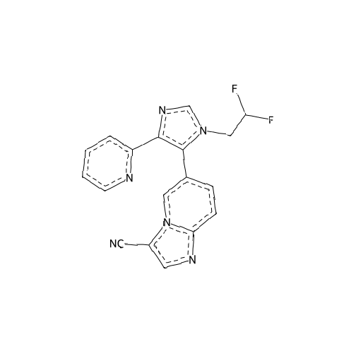 N#Cc1cnc2ccc(-c3c(-c4ccccn4)ncn3CC(F)F)cn12